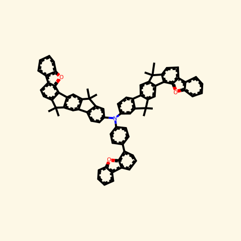 CC1(C)c2cc(N(c3ccc(-c4cccc5c4oc4ccccc45)cc3)c3ccc4c(c3)C(C)(C)c3cc5c(cc3-4)C(C)(C)c3ccc4c(oc6ccccc64)c3-5)ccc2-c2cc3c(cc21)-c1c(ccc2c1oc1ccccc12)C3(C)C